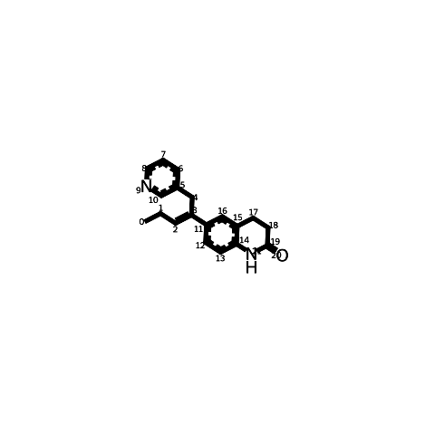 CCC=C(Cc1cccnc1)c1ccc2c(c1)CCC(=O)N2